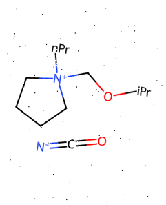 CCC[N+]1(COC(C)C)CCCC1.[N-]=C=O